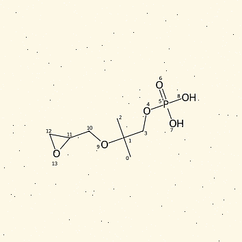 CC(C)(COP(=O)(O)O)OCC1CO1